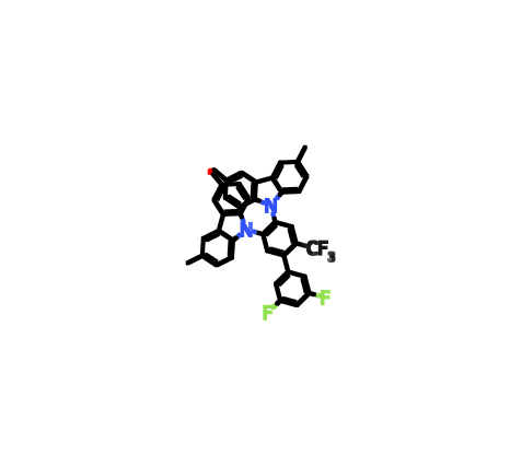 Cc1ccc2c(c1)c1cc(C)ccc1n2-c1cc(-c2cc(F)cc(F)c2)c(C(F)(F)F)cc1-n1c2ccc(C)cc2c2cc(C)ccc21